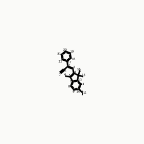 C#C/C(=C\C1=C(C)c2ccc(I)cc2C1(C)C)c1ccccc1